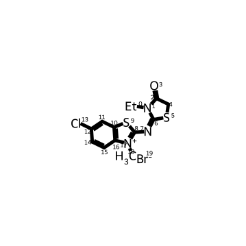 CCN1C(=O)CSC1=Nc1sc2cc(Cl)ccc2[n+]1C.[Br-]